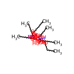 CCCCCCCCCCCCCCCC(=O)OC(CCCCCCCCCCC)CC(=O)N[C@@H]1C(OP(=O)(O)O)OC(CO[C@@H]2OC(CO)C(O)C(OC(=O)CC(CCCCCCCCCCC)OC(=O)CCCCCCCCCCCCCCC)[C@@H]2NC(=O)CC(O)CCCCCCCCCCC)[C@@H](O)C1OC(=O)CC(O)CCCCCCCCCCC